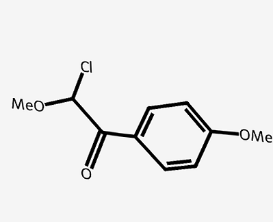 COc1ccc(C(=O)C(Cl)OC)cc1